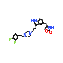 O=C1N[C@@H](Cc2ccc3[nH]cc(CCCN4CCN(CCc5ccc(F)c(F)c5)CC4)c3c2)CO1